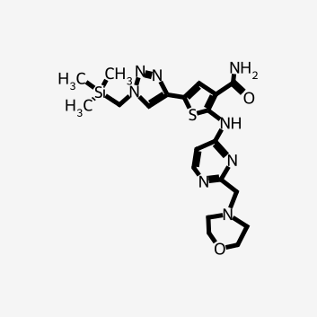 C[Si](C)(C)Cn1cc(-c2cc(C(N)=O)c(Nc3ccnc(CN4CCOCC4)n3)s2)nn1